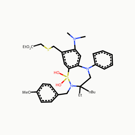 CCCCC1(CC)CN(c2ccccc2)c2cc(N(C)C)c(CSCC(=O)OCC)cc2S(O)(O)N1Cc1ccc(OC)cc1